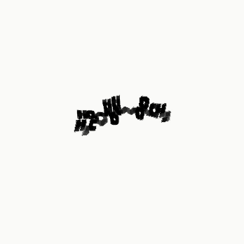 C=CC(=O)OCCCCNC(=O)Nc1ccc(C)c(O)c1